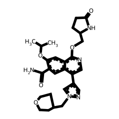 CC(C)Oc1cc2c(OCC3CCC(=O)N3)ncc(-c3cnn(CC4CCOCC4)c3)c2cc1C(N)=O